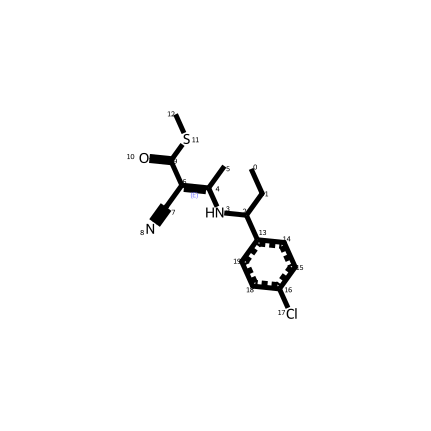 CCC(N/C(C)=C(\C#N)C(=O)SC)c1ccc(Cl)cc1